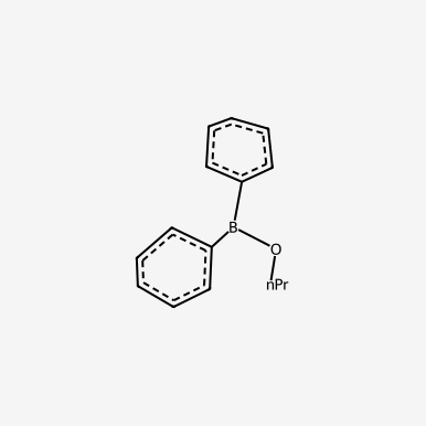 CCCOB(c1ccccc1)c1ccccc1